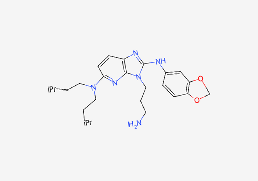 CC(C)CCN(CCC(C)C)c1ccc2nc(Nc3ccc4c(c3)OCO4)n(CCCN)c2n1